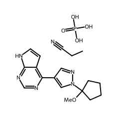 CCC#N.COC1(n2cc(-c3ncnc4[nH]ccc34)cn2)CCCC1.O=P(O)(O)O